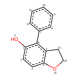 Oc1ccc2c(c1-c1ccccc1)CCO2